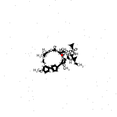 C=C[C@@H]1C[C@]1(NC(=O)[C@@H]1C[C@]2(OC)CN1C(=O)[C@H](C(C)(C)C)NC(=O)OCCC(C)(C)CCCc1cc(OC)ccc1-c1ccc2cc1)C(=O)NS(=O)(=O)C1CC1